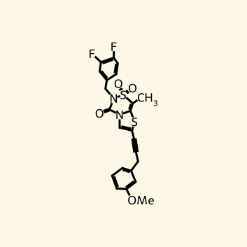 COc1cccc(CC#CC2=CN3C(=O)N(Cc4ccc(F)c(F)c4)S(=O)(=O)C(C)=C3S2)c1